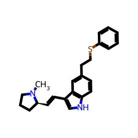 CN1CCC[C@@H]1C=Cc1c[nH]c2ccc(CCSc3ccccc3)cc12